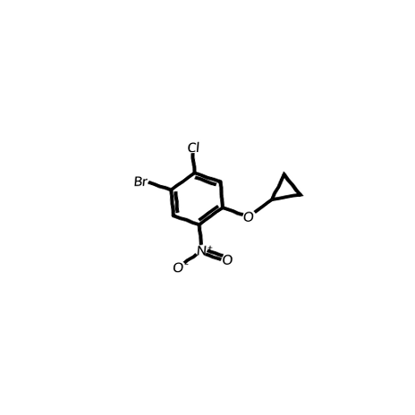 O=[N+]([O-])c1cc(Br)c(Cl)cc1OC1CC1